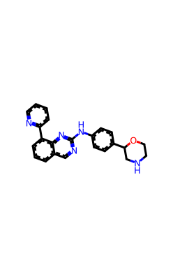 c1ccc(-c2cccc3cnc(Nc4ccc(C5CNCCO5)cc4)nc23)nc1